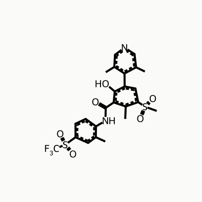 Cc1cc(S(=O)(=O)C(F)(F)F)ccc1NC(=O)c1c(C)c(S(C)(=O)=O)cc(-c2c(C)cncc2C)c1O